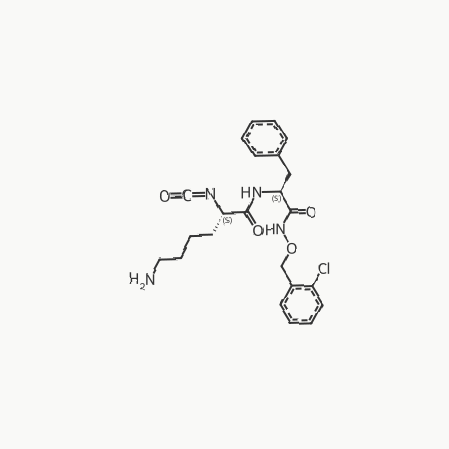 NCCCC[C@H](N=C=O)C(=O)N[C@@H](Cc1ccccc1)C(=O)NOCc1ccccc1Cl